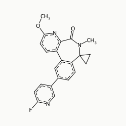 COc1ccc2c(n1)C(=O)N(C)C1(CC1)c1ccc(-c3ccc(F)nc3)cc1-2